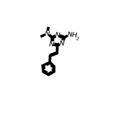 CN(C)c1nc(N)nc(C=Cc2ccccc2)n1